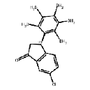 Bc1c(B)c(B)c([C@@H]2CC(=O)c3cc(Cl)ccc32)c(B)c1B